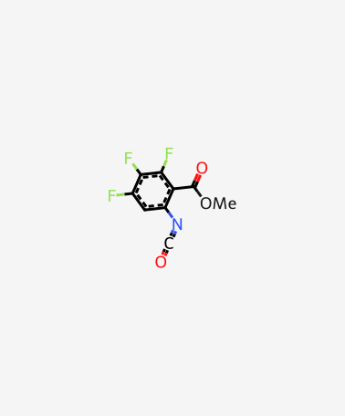 COC(=O)c1c(N=C=O)cc(F)c(F)c1F